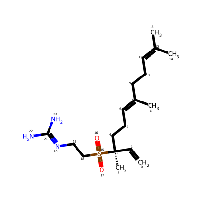 C=C[C@](C)(CC/C=C(\C)CCC=C(C)C)S(=O)(=O)CCN=C(N)N